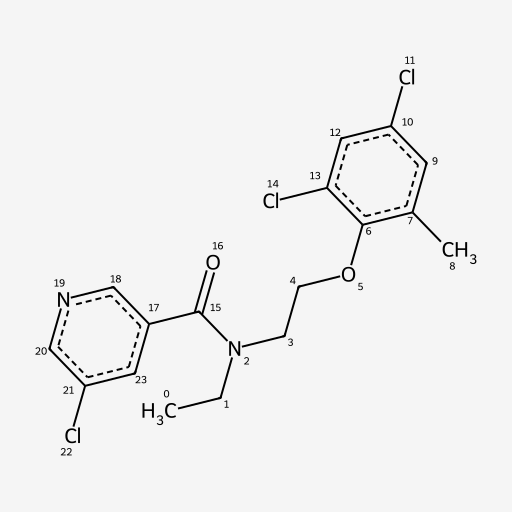 CCN(CCOc1c(C)cc(Cl)cc1Cl)C(=O)c1cncc(Cl)c1